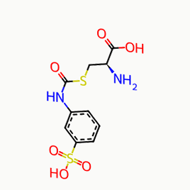 N[C@@H](CSC(=O)Nc1cccc(S(=O)(=O)O)c1)C(=O)O